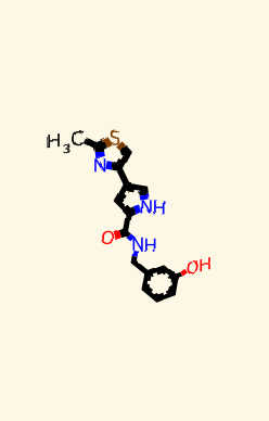 Cc1nc(-c2c[nH]c(C(=O)NCc3cccc(O)c3)c2)cs1